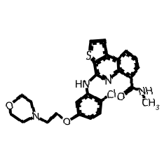 CNC(=O)c1cccc2c1nc(Nc1cc(OCCN3CCOCC3)ccc1Cl)c1sccc12